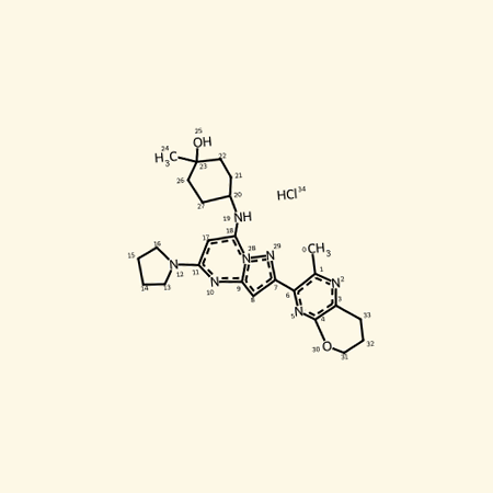 Cc1nc2c(nc1-c1cc3nc(N4CCCC4)cc(NC4CCC(C)(O)CC4)n3n1)OCCC2.Cl